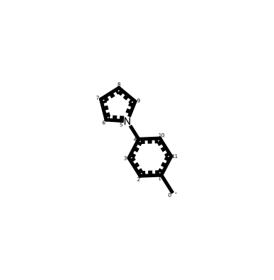 [CH2]c1ccc(-n2cccc2)cc1